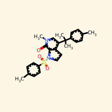 Cc1ccc(C(C)(C)c2cn(C)c(=O)c3c2ccn3S(=O)(=O)c2ccc(C)cc2)cc1